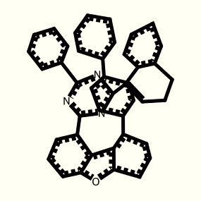 C1=C(c2nc(-c3ccccc3)nc(-c3cccc4oc5cccc(-c6ccc(-c7ccccc7)cc6)c5c34)n2)c2ccccc2CC1